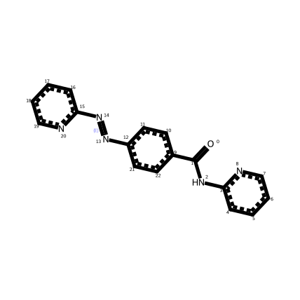 O=C(Nc1ccccn1)c1ccc(/N=N/c2ccccn2)cc1